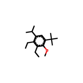 CCc1c(C(C)C)cc(C(C)(C)C)c(OC)c1CC